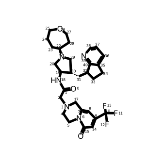 O=C(CN1CCn2c(cc(C(F)(F)F)cc2=O)C1)NC1CN(C2CCCOCC2)C[C@@H]1CC1CCc2cccnc21